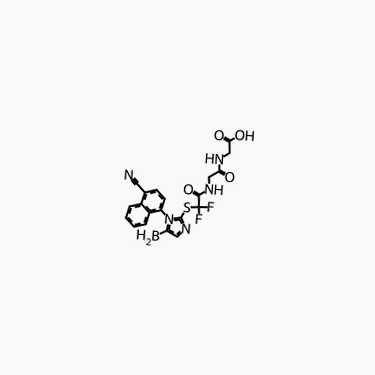 Bc1cnc(SC(F)(F)C(=O)NCC(=O)NCC(=O)O)n1-c1ccc(C#N)c2ccccc12